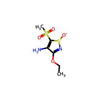 CCOc1n[s+]([O-])c(S(C)(=O)=O)c1N